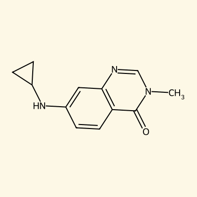 Cn1cnc2cc(NC3CC3)ccc2c1=O